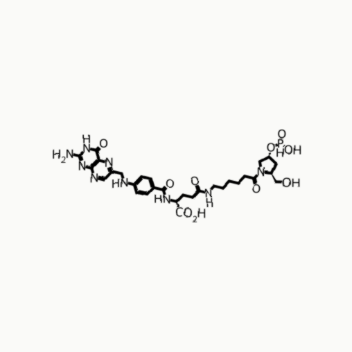 Nc1nc2ncc(CNc3ccc(C(=O)N[C@@H](CCC(=O)NCCCCCC(=O)N4C[C@H](O[PH](=O)O)C[C@H]4CO)C(=O)O)cc3)nc2c(=O)[nH]1